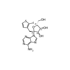 Nc1ncnc2c1ncn2[C@]1(Cc2ccsc2I)O[C@H](CO)[C@@H](O)[C@H]1O